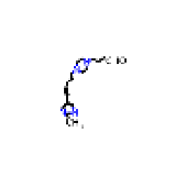 Cc1ncc(C#CCCCN2CCN(CCCC=O)CC2)cn1